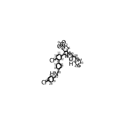 CS(=O)(=O)N1CCc2c(c(-c3ccc(Cl)c(-c4ccc(CNCc5ccc(Cl)cc5)cc4)c3)nn2C[C@H](O)CN2CCSCC2)C1